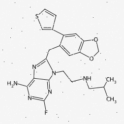 CC(C)CNCCn1c(Cc2cc3c(cc2-c2ccsc2)OCO3)nc2c(N)nc(F)nc21